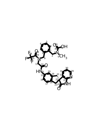 CN(Cc1ccccc1CN(CC(=O)Nc1ccc2c(c1)C[C@@]1(C2)C(=O)Nc2ncccc21)C(=O)C(F)(F)F)C(=O)O